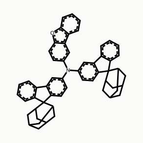 c1ccc2c(c1)-c1cc(N(c3ccc4c(c3)-c3ccccc3C43C4CC5CC(C4)CC3C5)c3ccc4oc5ccccc5c4c3)ccc1C21C2CC3CC(C2)CC1C3